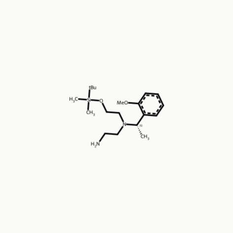 COc1ccccc1[C@H](C)N(CCN)CCO[Si](C)(C)C(C)(C)C